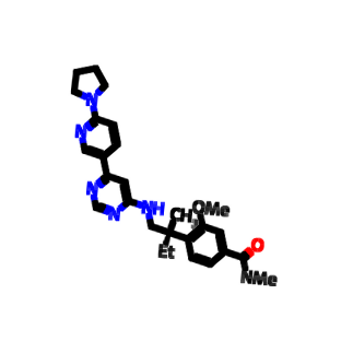 CC[C@](C)(CNc1cc(-c2ccc(N3CCCC3)nc2)ncn1)c1ccc(C(=O)NC)cc1OC